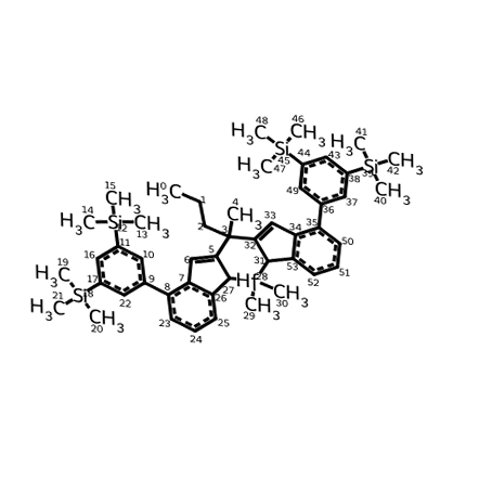 CCCC1(C)C2=Cc3c(-c4cc([Si](C)(C)C)cc([Si](C)(C)C)c4)cccc3[CH]2[Hf]([CH3])([CH3])[CH]2C1=Cc1c(-c3cc([Si](C)(C)C)cc([Si](C)(C)C)c3)cccc12